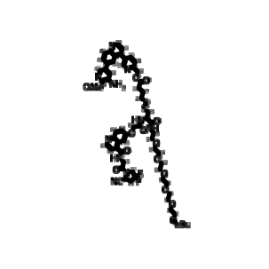 CCCCOCCOCCOCCOCCOCCOCCNC(=O)C(CSSCCCC(=O)OCc1ccc(-c2ccnc3ccc(-c4cnc(OC)c(N)c4)cc23)cn1)NC(=O)COc1ccc2nccc(C(=O)NCC(=O)N3CC(F)(F)C[C@H]3C#N)c2c1